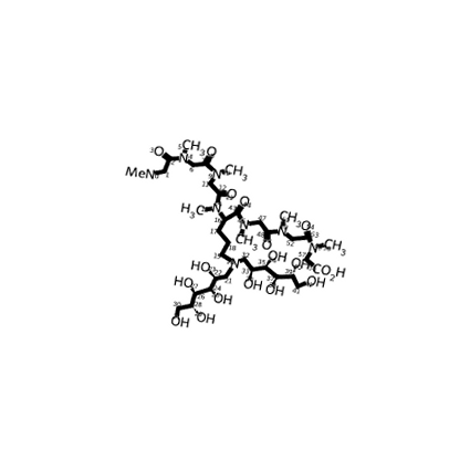 CNCC(=O)N(C)CC(=O)N(C)CC(=O)N(C)C(CCCN(C[C@H](O)[C@@H](O)[C@H](O)[C@H](O)CO)C[C@H](O)[C@@H](O)[C@H](O)[C@H](O)CO)C(=O)N(C)CC(=O)N(C)CC(=O)N(C)CC(=O)O